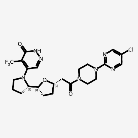 O=C(C[C@@H]1CC[C@H]([C@@H]2CCCN2c2cn[nH]c(=O)c2C(F)(F)F)O1)N1CCN(c2ncc(Cl)cn2)CC1